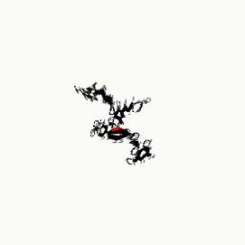 COCCCc1cc(CN(C(=O)[C@H]2CN(C(=O)O)CC[C@@H]2c2ccc(OCCOc3c(Cl)cc(C)cc3Cl)cc2)C2CC2)cc(OCCCc2nn[nH]n2)c1